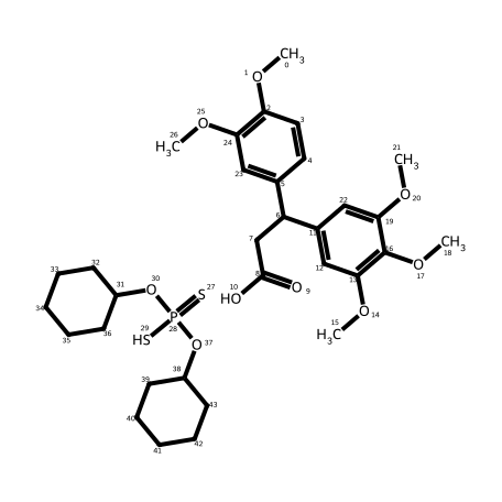 COc1ccc(C(CC(=O)O)c2cc(OC)c(OC)c(OC)c2)cc1OC.S=P(S)(OC1CCCCC1)OC1CCCCC1